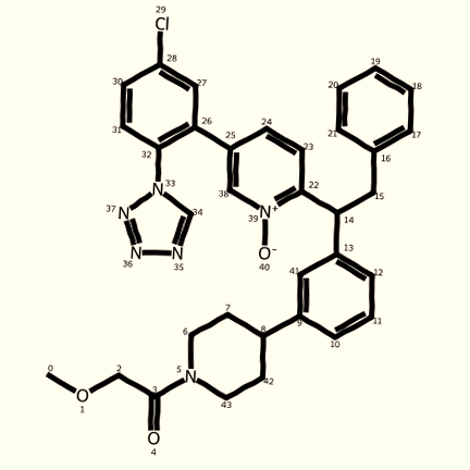 COCC(=O)N1CCC(c2cccc(C(Cc3ccccc3)c3ccc(-c4cc(Cl)ccc4-n4cnnn4)c[n+]3[O-])c2)CC1